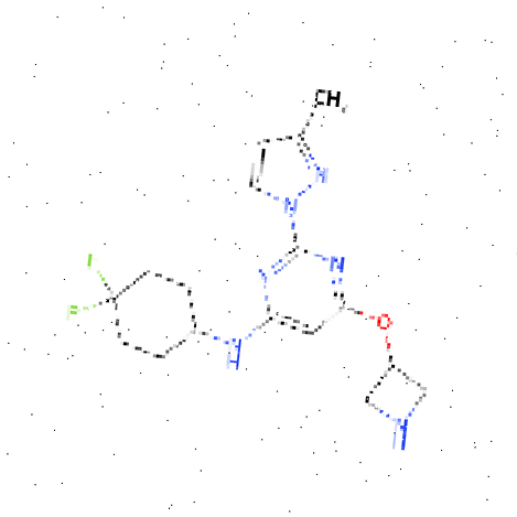 Cc1ccn(-c2nc(NC3CCC(F)(F)CC3)cc(OC3CNC3)n2)n1